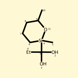 CCC(O)(O)[Si]1(C)CCCC(C)O1